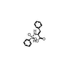 O=C(O)C(=Cc1ccccc1)NS(=O)(=O)c1ccccc1